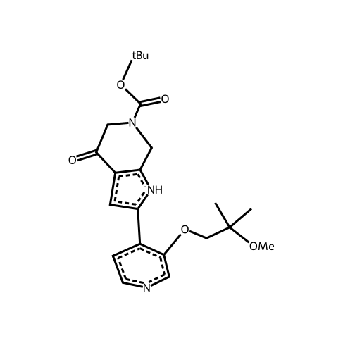 COC(C)(C)COc1cnccc1-c1cc2c([nH]1)CN(C(=O)OC(C)(C)C)CC2=O